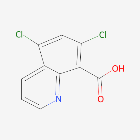 O=C(O)c1c(Cl)cc(Cl)c2cccnc12